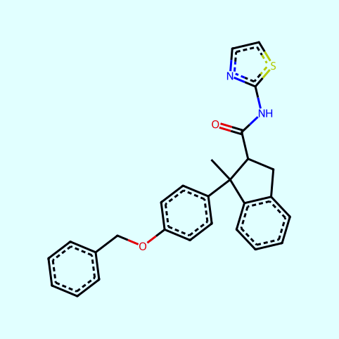 CC1(c2ccc(OCc3ccccc3)cc2)c2ccccc2CC1C(=O)Nc1nccs1